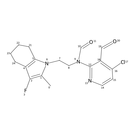 Cc1c(F)c2c(n1CCN(C=O)c1nccc(Cl)c1C=O)CCCC2